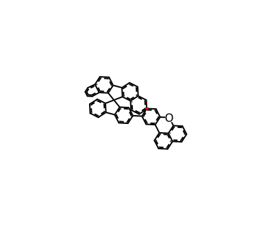 c1ccc2c(c1)-c1ccc(-c3ccc4c(c3)-c3cccc5cccc(c35)O4)cc1C21c2c(ccc3ccccc23)-c2ccc3ccccc3c21